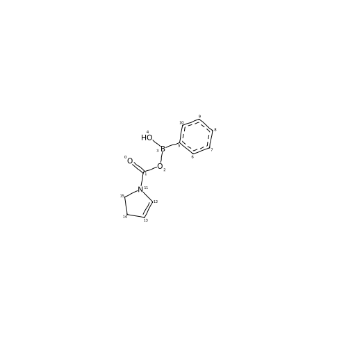 O=C(OB(O)c1ccccc1)N1C=CCC1